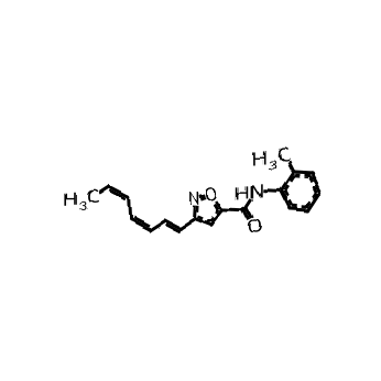 C\C=C/C=C\C=C\c1cc(C(=O)Nc2ccccc2C)on1